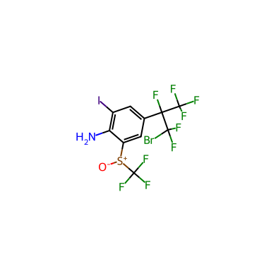 Nc1c(I)cc(C(F)(C(F)(F)F)C(F)(F)Br)cc1[S+]([O-])C(F)(F)F